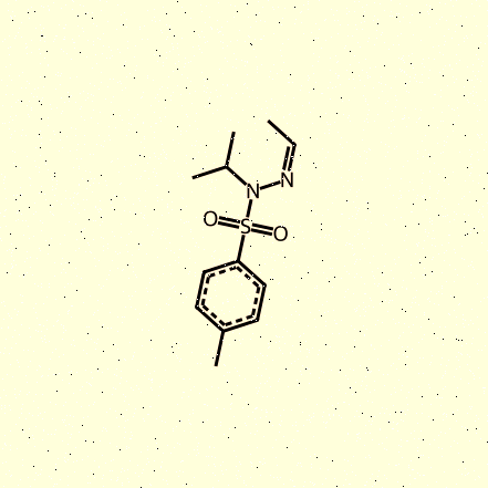 C/C=N\N(C(C)C)S(=O)(=O)c1ccc(C)cc1